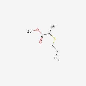 CCCC(SCCC(F)(F)F)C(=O)OC(C)(C)C